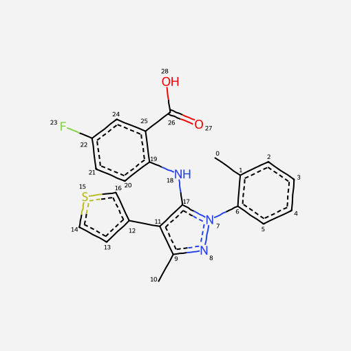 Cc1ccccc1-n1nc(C)c(-c2ccsc2)c1Nc1ccc(F)cc1C(=O)O